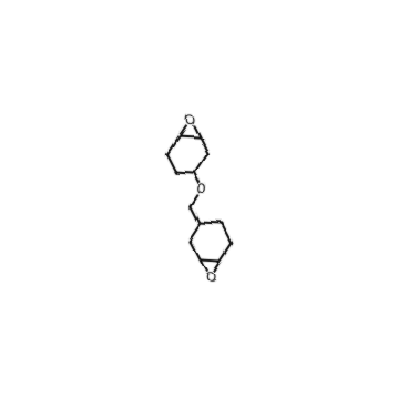 C1CC2OC2CC1COC1CCC2OC2C1